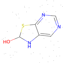 OC1Nc2cncnc2S1